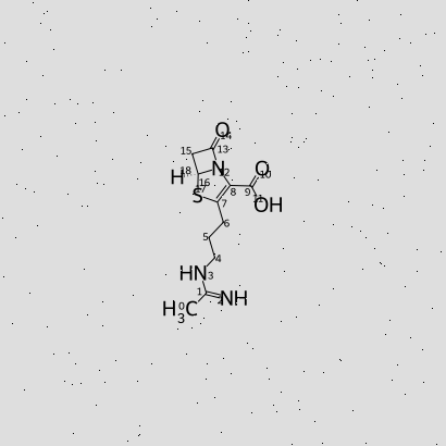 CC(=N)NCCCC1=C(C(=O)O)N2C(=O)C[C@@H]2S1